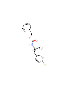 O=C(N/C(=C/c1ccc(F)cc1)C(=O)O)OCc1ccccc1